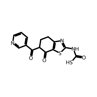 O=C(S)Nc1nc2c(s1)C(=O)C(C(=O)c1cccnc1)CC2